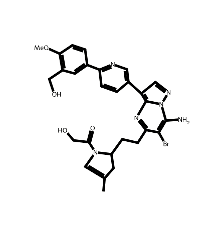 COc1ccc(-c2ccc(-c3cnn4c(N)c(Br)c(CCC5CC(C)=CN5C(=O)CO)nc34)cn2)cc1CO